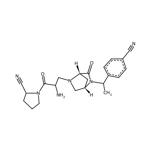 CC(c1ccc(C#N)cc1)N1C(=O)[C@@H]2C[C@H]1CN2CC(N)C(=O)N1CCCC1C#N